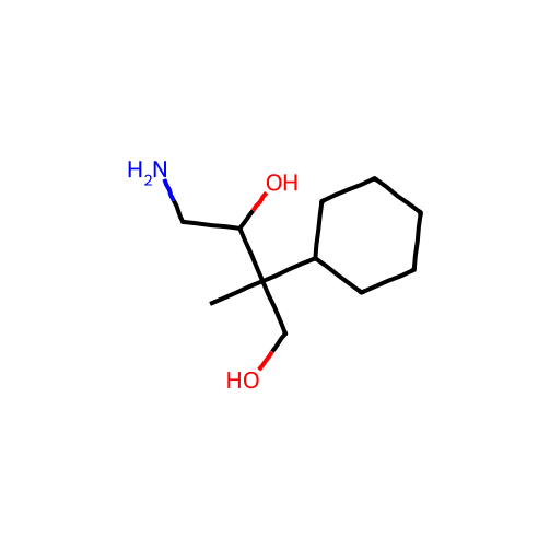 CC(CO)(C(O)CN)C1CCCCC1